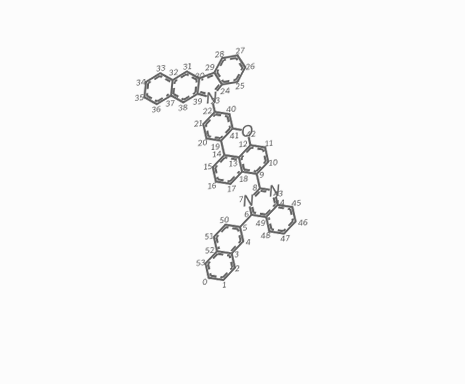 c1ccc2cc(-c3nc(-c4ccc5c6c(cccc46)-c4ccc(-n6c7ccccc7c7cc8ccccc8cc76)cc4O5)nc4ccccc34)ccc2c1